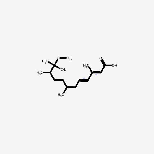 COC(C)(C)C(C)CCC(C)C/C=C/C(C)=C/C(=O)O